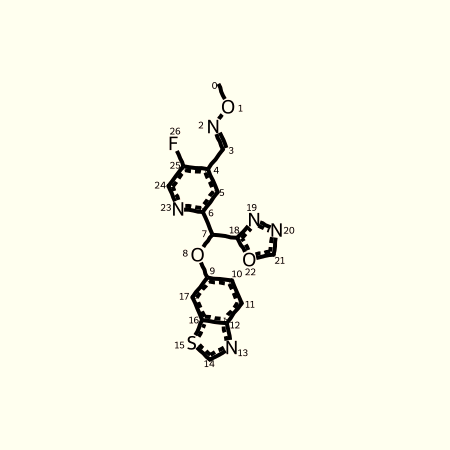 CO/N=C/c1cc(C(Oc2ccc3ncsc3c2)c2nnco2)ncc1F